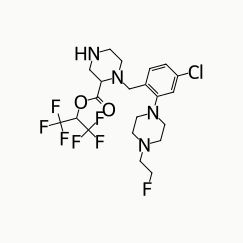 O=C(OC(C(F)(F)F)C(F)(F)F)C1CNCCN1Cc1ccc(Cl)cc1N1CCN(CCF)CC1